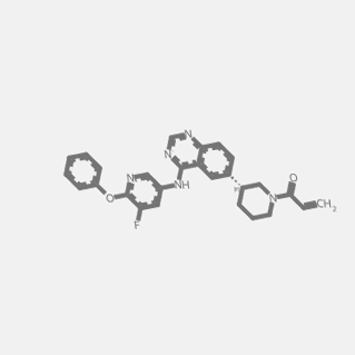 C=CC(=O)N1CCC[C@H](c2ccc3ncnc(Nc4cnc(Oc5ccccc5)c(F)c4)c3c2)C1